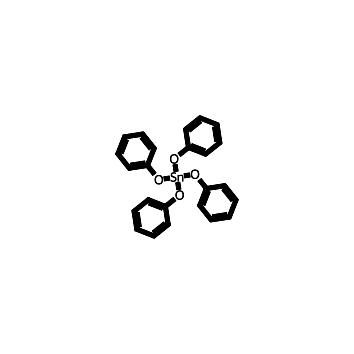 c1ccc([O][Sn]([O]c2ccccc2)([O]c2ccccc2)[O]c2ccccc2)cc1